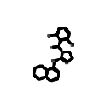 O=C(c1c(Cl)cccc1Cl)N1CCN=C1Nc1cccc2c1CCCC2